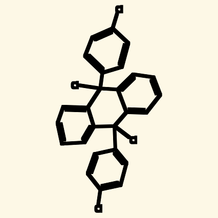 Clc1ccc(C2(Cl)c3ccccc3C(Cl)(c3ccc(Cl)cc3)c3ccccc32)cc1